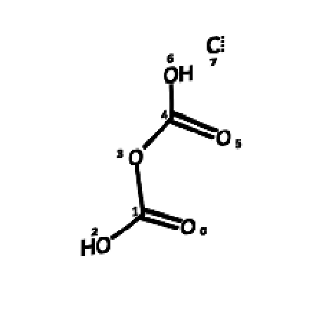 O=C(O)OC(=O)O.[C]